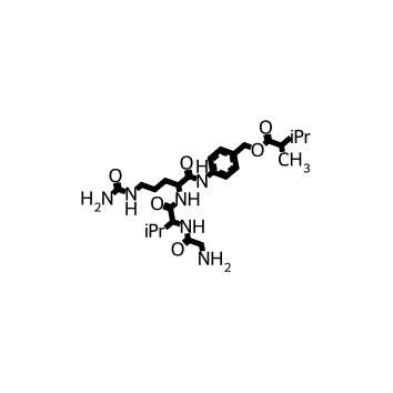 CC(C)C(C)C(=O)OCc1ccc(NC(=O)C(CCCNC(N)=O)NC(=O)C(NC(=O)CN)C(C)C)cc1